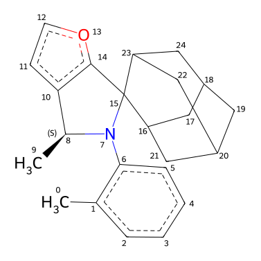 Cc1ccccc1N1[C@@H](C)c2ccoc2C12C1CC3CC(C1)CC2C3